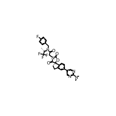 C[C@H](N(Cc1ccc(F)cc1)C(=O)CN1C(=O)O[C@]2(CCc3cc(-c4cnc(N(C)C)nc4)ccc32)C1=O)C(F)(F)F